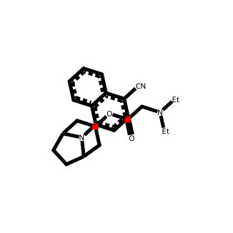 CCN(CC)CC(=O)OC1CC2CCC(C1)N2c1ccc(C#N)c2ccccc12